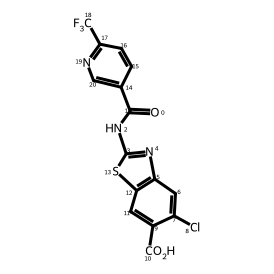 O=C(Nc1nc2cc(Cl)c(C(=O)O)cc2s1)c1ccc(C(F)(F)F)nc1